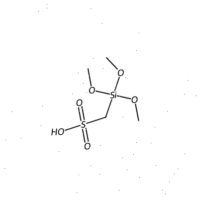 CO[Si](CS(=O)(=O)O)(OC)OC